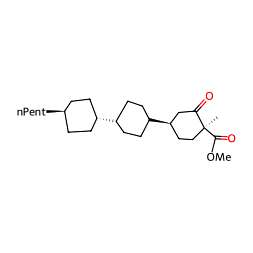 CCCCC[C@H]1CC[C@H](C2CCC([C@@H]3CC[C@](C)(C(=O)OC)C(=O)C3)CC2)CC1